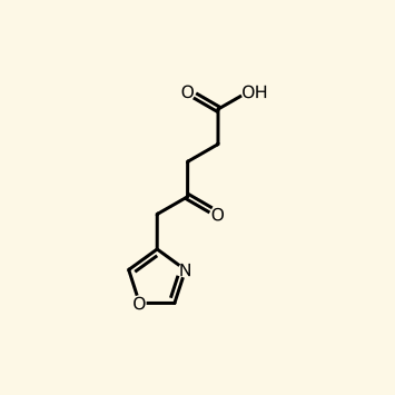 O=C(O)CCC(=O)Cc1cocn1